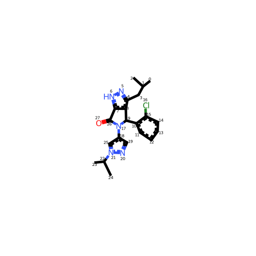 CC(C)Cc1n[nH]c2c1C(c1ccccc1Cl)N(c1cnn(C(C)C)c1)C2=O